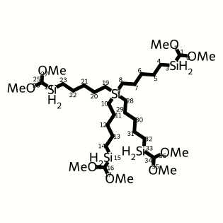 COC(OC)[SiH2]CCCCC[Si](CCCCC[SiH2]C(OC)OC)(CCCCC[SiH2]C(OC)OC)CCCCC[SiH2]C(OC)OC